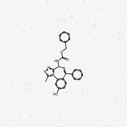 Cc1nnc2n1-c1cc(O)ccc1C(c1ccccc1)=NC2NC(=O)OCc1ccccc1